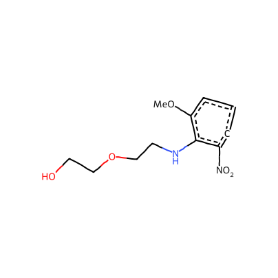 COc1cccc([N+](=O)[O-])c1NCCOCCO